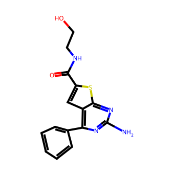 Nc1nc(-c2ccccc2)c2cc(C(=O)NCCO)sc2n1